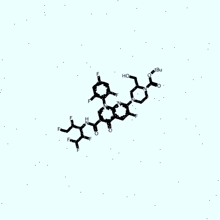 CC(C)(C)OC(=O)N1CCN(c2nc3c(cc2F)c(=O)c(C(=O)NC(C(F)CF)C(F)C(F)F)cn3-c2c(F)cc(F)cc2F)CC1CO